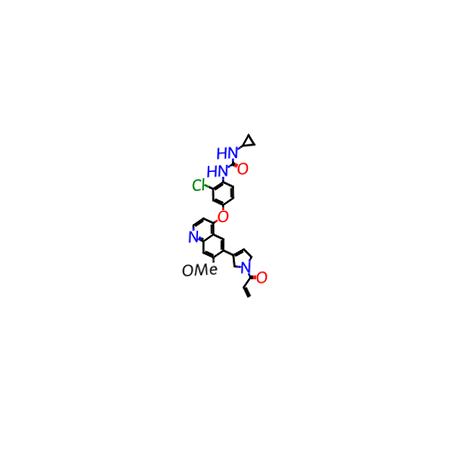 C=CC(=O)N1CC=C(c2cc3c(Oc4ccc(NC(=O)NC5CC5)c(Cl)c4)ccnc3cc2OC)C1